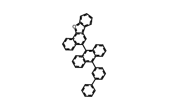 c1ccc(-c2cccc(-c3c4ccccc4c(-c4cc5c6ccccc6oc5c5ccccc45)c4ccccc34)c2)cc1